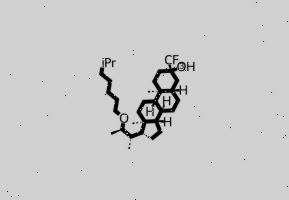 CC(C)CCCCCO[C@H](C)[C@@H](C)[C@H]1CC[C@H]2[C@@H]3CC[C@H]4C[C@](O)(C(F)(F)F)CC[C@]4(C)[C@H]3CC[C@]12C